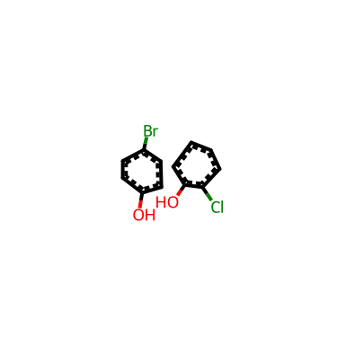 Oc1ccc(Br)cc1.Oc1ccccc1Cl